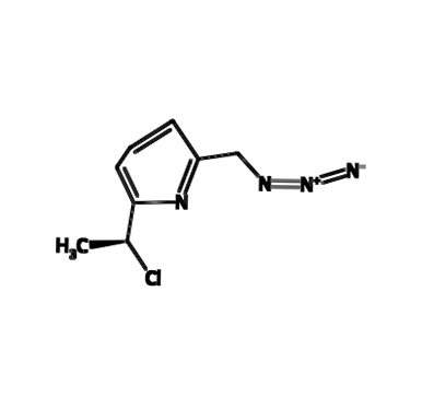 C[C@H](Cl)c1cccc(CN=[N+]=[N-])n1